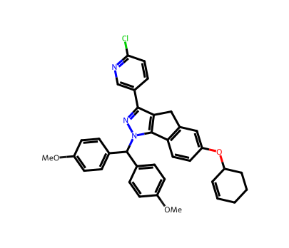 COc1ccc(C(c2ccc(OC)cc2)n2nc(-c3ccc(Cl)nc3)c3c2-c2ccc(OC4C=CCCC4)cc2C3)cc1